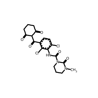 CN1CCCN(C(=O)Nc2c(Cl)ccc(C(=O)C3C(=O)CCCC3=O)c2Cl)C1=O